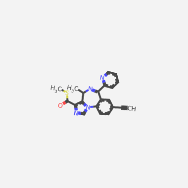 C#Cc1ccc2c(c1)C(c1ccccn1)=NC(C)c1c(C(=O)SC)ncn1-2